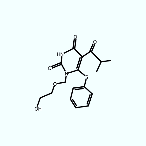 CC(C)C(=O)c1c(Sc2ccccc2)n(COCCO)c(=O)[nH]c1=O